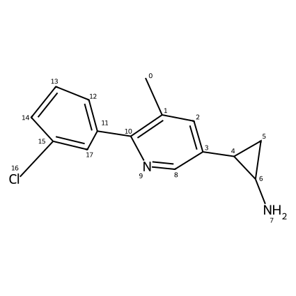 Cc1cc(C2CC2N)cnc1-c1cccc(Cl)c1